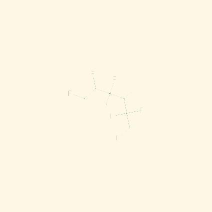 FCC(F)C(F)(F)C(F)C(F)(F)CF